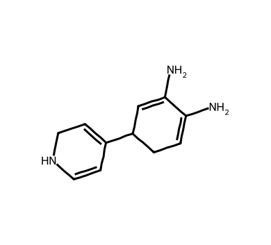 NC1=CCC(C2=CCNC=C2)C=C1N